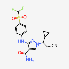 N#CCC(C1CC1)n1cc(C(N)=O)c(Nc2ccc(S(=O)(=O)C(F)F)cc2)n1